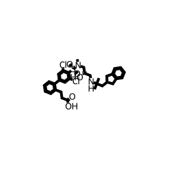 CN(C[C@H](O)CNC(C)(C)CC1Cc2ccccc2C1)S(=O)(=O)c1c(Cl)cc(-c2ccccc2CCC(=O)O)cc1Cl